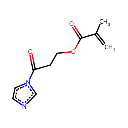 C=C(C)C(=O)OCCC(=O)n1ccnc1